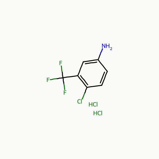 Cl.Cl.Nc1ccc(Cl)c(C(F)(F)F)c1